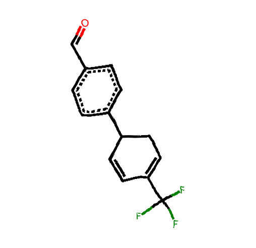 O=Cc1ccc(C2C=CC(C(F)(F)F)=CC2)cc1